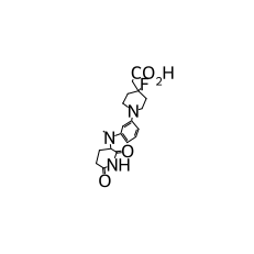 CN(c1cccc(N2CCC(F)(CC(=O)O)CC2)c1)C1CCC(=O)NC1=O